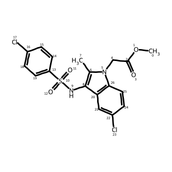 COC(=O)Cn1c(C)c(NS(=O)(=O)c2ccc(Cl)cc2)c2cc(Cl)ccc21